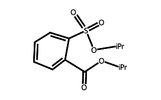 CC(C)OC(=O)c1ccccc1S(=O)(=O)OC(C)C